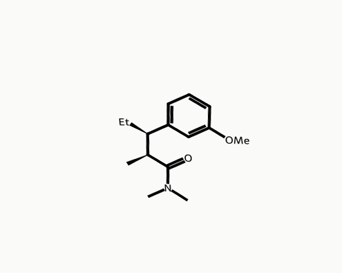 CC[C@@H](c1cccc(OC)c1)[C@H](C)C(=O)N(C)C